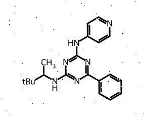 CC(Nc1nc(Nc2ccncc2)nc(-c2ccccc2)n1)C(C)(C)C